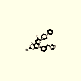 O=C(O)Oc1cn(-c2cccc(Cn3cncn3)c2)c2nc(N3CCN(c4ccccc4)CC3)c(F)cc2c1=O